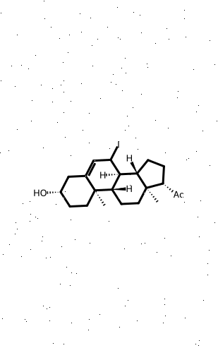 CC(=O)[C@H]1CC[C@H]2[C@@H]3C(I)C=C4C[C@@H](O)CC[C@]4(C)[C@H]3CC[C@]12C